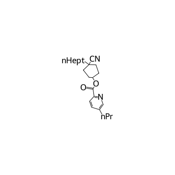 CCCCCCCC1(C#N)CCC(OC(=O)c2ccc(CCC)cn2)CC1